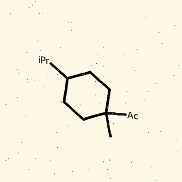 CC(=O)C1(C)C[CH]C(C(C)C)CC1